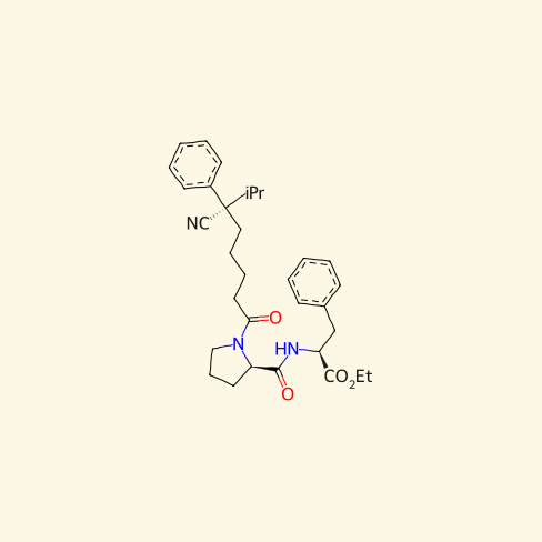 CCOC(=O)[C@H](Cc1ccccc1)NC(=O)[C@H]1CCCN1C(=O)CCCC[C@@](C#N)(c1ccccc1)C(C)C